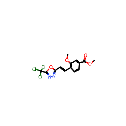 COC(=O)c1ccc(C=Cc2nnc(C(Cl)(Cl)Cl)o2)c(OC)c1